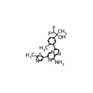 Cc1ncc(-c2cn3c(-c4cc(C(C)(O)C(F)F)ccc4C)cnc3c(N)n2)s1